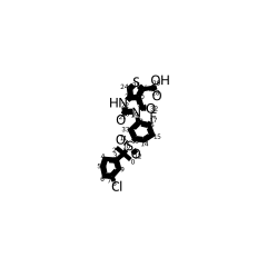 CC(C)(c1cccc(Cl)c1)S(=O)(=O)c1ccc(F)c(-n2c(=O)[nH]c3csc(C(=O)O)c3c2=O)c1